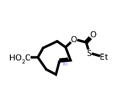 CCSC(=O)OC1/C=C/CCC(C(=O)O)CC1